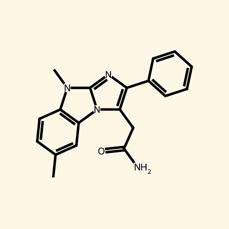 Cc1ccc2c(c1)n1c(CC(N)=O)c(-c3ccccc3)nc1n2C